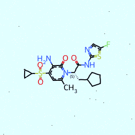 Cc1cc(S(=O)(=O)C2CC2)c(N)c(=O)n1[C@@H](CC1CCCC1)C(=O)Nc1ncc(F)s1